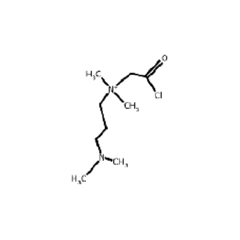 CN(C)CCC[N+](C)(C)CC(=O)Cl